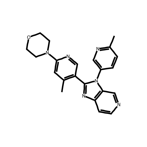 Cc1ccc(-n2c(-c3cnc(N4CCOCC4)cc3C)nc3ccncc32)cn1